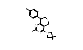 FC1(F)CN(c2nc(Cl)nc3c2COCC3c2ccc(Cl)cc2)C1